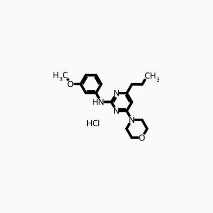 CCCc1cc(N2CCOCC2)nc(Nc2cccc(OC)c2)n1.Cl